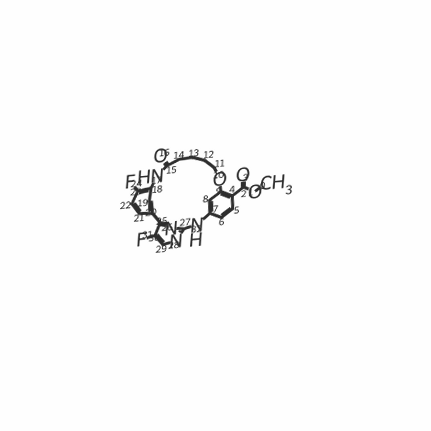 COC(=O)c1ccc2cc1OCCCCC(=O)Nc1cc(ccc1F)-c1nc(ncc1F)N2